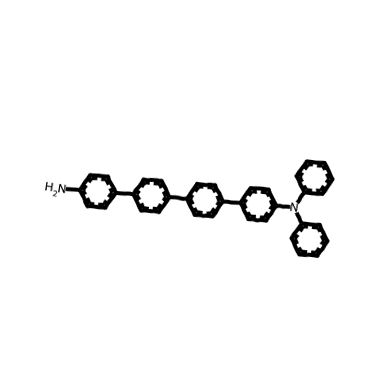 Nc1ccc(-c2ccc(-c3ccc(-c4ccc(N(c5ccccc5)c5ccccc5)cc4)cc3)cc2)cc1